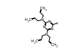 C=CCN(CC=C)c1nc(I)nc(N(CC=C)CC=C)n1